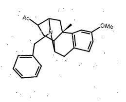 COc1ccc2c(c1)[C@@]1(C)CC3C(C(C)=O)CC1C(C2)N3Cc1ccccc1